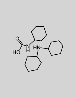 C1CCC(NC2CCCCC2)CC1.O=C(O)NC1CCCCC1